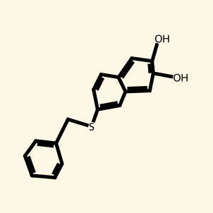 Oc1cc2ccc(SCc3ccccc3)cc2cc1O